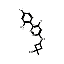 CC1(O)CC(Nc2cc(C(F)(F)F)c(-c3ccc(Cl)cc3O)nn2)C1